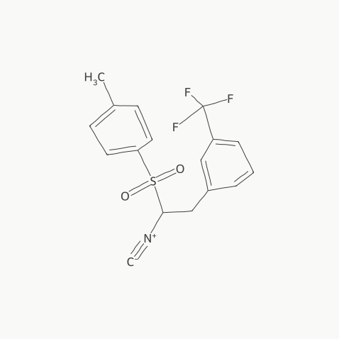 [C-]#[N+]C(Cc1cccc(C(F)(F)F)c1)S(=O)(=O)c1ccc(C)cc1